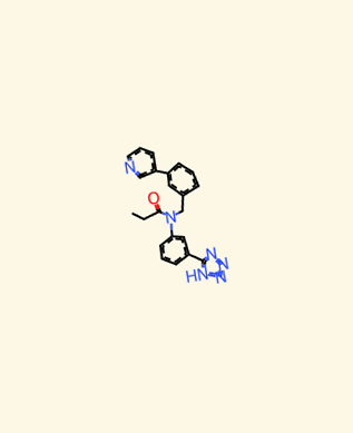 CCC(=O)N(Cc1cccc(-c2cccnc2)c1)c1cccc(-c2nnn[nH]2)c1